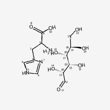 NC(Cc1c[nH]cn1)C(=O)O.O=C[C@H](O)[C@@H](O)[C@H](O)[C@H](O)CO